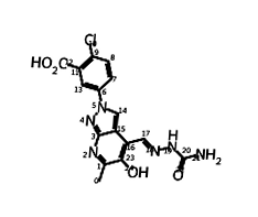 Cc1nc2nn(-c3ccc(Cl)c(C(=O)O)c3)cc2c(C=NNC(N)=O)c1O